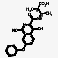 C[C@@H](NC(=O)c1nc(C#N)c2cc(Oc3ccccc3)ccc2c1O)[C@@H](C)C(=O)O